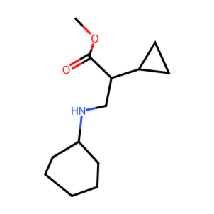 COC(=O)C(CNC1CCCCC1)C1CC1